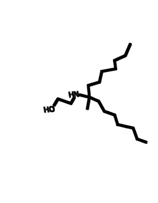 CCCCCCCC(C)(CCCCCCC)NCCO